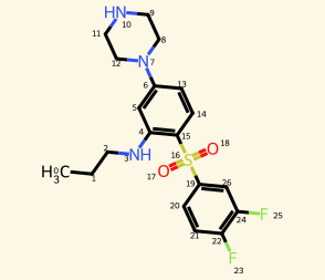 CCCNc1cc(N2CCNCC2)ccc1S(=O)(=O)c1ccc(F)c(F)c1